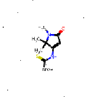 CNC(=S)NC1=CC(=O)N(C)C1(C)C